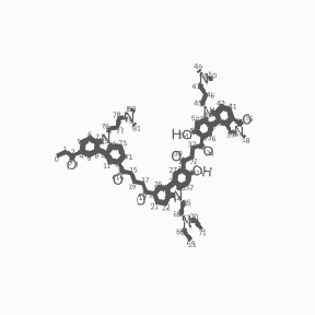 CCC(=O)c1ccc2c(c1)c1cc(C(=O)CCCC(=O)c3ccc4c(c3)c3cc(C(=O)CCC(=O)c5cc6c7c8c(ccc7n(CCCN(C)C)c6cc5O)C(=O)N(C)C8)c(O)cc3n4CCN(CC)CC)ccc1n2CCCN(C)C